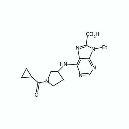 CCn1c(C(=O)O)nc2c(NC3CCN(C(=O)C4CC4)C3)ncnc21